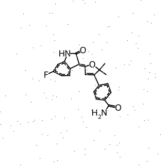 CC1(C)OC(=C2C(=O)Nc3cc(F)ccc32)C=C1c1ccc(C(N)=O)cc1